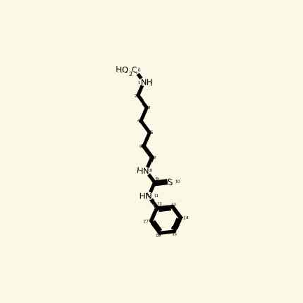 O=C(O)NCCCCCCNC(=S)Nc1ccccc1